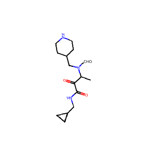 CC(C(=O)C(=O)NCC1CC1)N(C=O)CC1CCNCC1